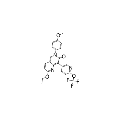 CCOc1ccc2cn(-c3ccc(OC)cc3)c(=O)c(-c3ccc(OC(F)(F)F)nc3)c2n1